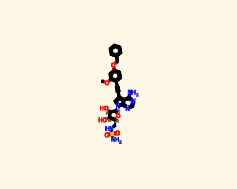 COc1cc(OCc2ccccc2)ccc1C#Cc1cn([C@@H]2O[C@H](CNS(N)(=O)=O)[C@@H](O)[C@H]2O)c2ncnc(N)c12